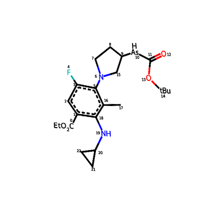 CCOC(=O)c1cc(F)c(N2CCC([AsH]C(=O)OC(C)(C)C)C2)c(C)c1NC1CC1